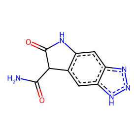 NC(=O)C1C(=O)Nc2cc3nn[nH]c3cc21